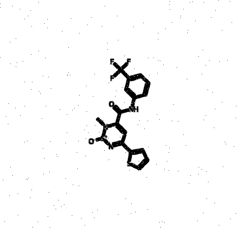 CN1C(C(=O)Nc2cccc(C(F)(F)F)c2)=CC(c2cccs2)=N[S+]1[O-]